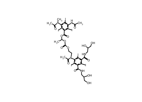 CC(=O)Nc1c(I)c(C(=O)OC(C)OC(=O)OCCN(C(C)=O)c2c(I)c(C(=O)NCC(O)CO)c(I)c(C(=O)NCC(O)CO)c2I)c(I)c(N(C)C(C)=O)c1I